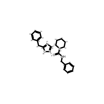 O=C(NCc1ccccc1)N1CCCC[C@H]1c1noc(Cc2ccccc2)n1